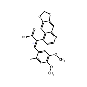 COc1cc(I)c(/C=C(/C(=O)O)c2ccnc3cc4c(cc23)OCO4)cc1OC